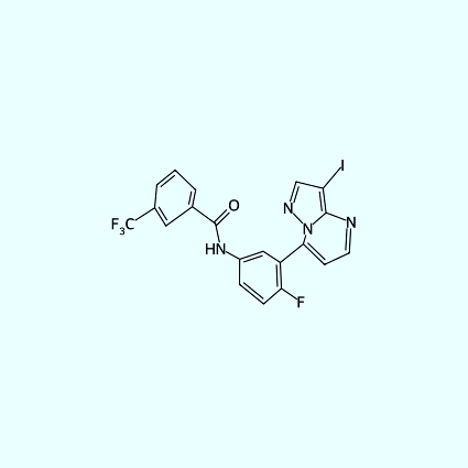 O=C(Nc1ccc(F)c(-c2ccnc3c(I)cnn23)c1)c1cccc(C(F)(F)F)c1